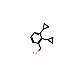 OCc1cccc(C2CC2)c1C1CC1